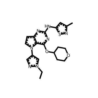 CCn1cc(-n2ccc3nc(Nc4cc(C)ns4)nc(OC4CCOCC4)c32)cn1